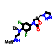 CCN(CCNNC)c1c(F)cc(N2C[C@H](Cn3ccnn3)OC2=O)cc1F